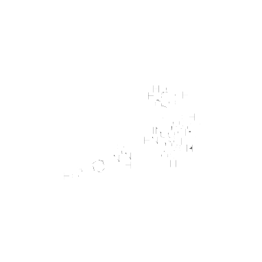 CC(C)(C)OC(=O)CC[C@H](NC(=O)N[C@@H](CCCCNC(=O)NCc1ccc(CC(=O)O)cc1)C(=O)OC(C)(C)C)C(=O)OC(C)(C)C